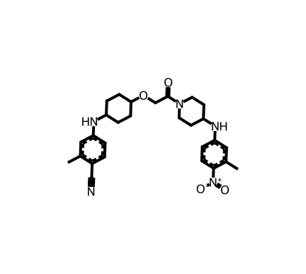 Cc1cc(NC2CCC(OCC(=O)N3CCC(Nc4ccc([N+](=O)[O-])c(C)c4)CC3)CC2)ccc1C#N